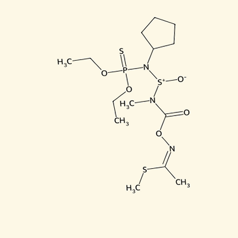 CCOP(=S)(OCC)N(C1CCCC1)[S+]([O-])N(C)C(=O)ON=C(C)SC